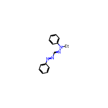 CCN(N=[C]N=Nc1ccccc1)c1ccccc1